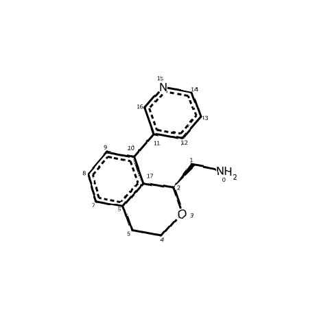 NC[C@H]1OCCc2cccc(-c3cccnc3)c21